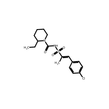 CCC1CCCCN1C(=O)NS(=O)(=O)/C(C)=C/c1ccc(Cl)cc1